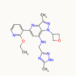 CCOc1ncccc1-c1cc(NCc2n[nH]c(C)n2)c2c(n1)c(C)nn2C1COC1